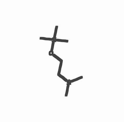 C[Si](C)CCO[Si](C)(C)C